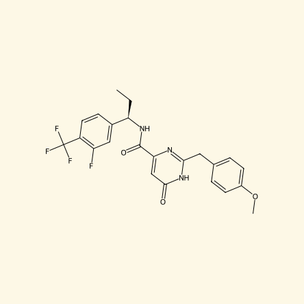 CC[C@@H](NC(=O)c1cc(=O)[nH]c(Cc2ccc(OC)cc2)n1)c1ccc(C(F)(F)F)c(F)c1